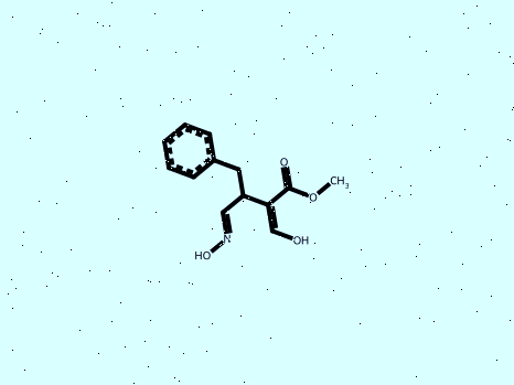 COC(=O)C(=CO)C(C=NO)Cc1ccccc1